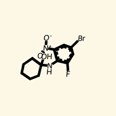 O=[N+]([O-])c1cc(Br)cc(F)c1NC1(O)CCCCC1